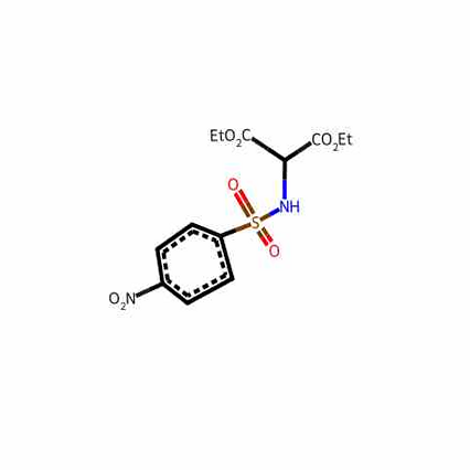 CCOC(=O)C(NS(=O)(=O)c1ccc([N+](=O)[O-])cc1)C(=O)OCC